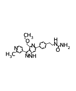 CCOCc1nc(-c2ccc(CCNC(N)=O)cc2)cc2[nH]nc(-c3ccnc(C)c3)c12